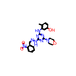 Cc1ccc(O)cc1Nc1nc(N/N=C\c2ccccc2[N+](=O)[O-])nc(N2CCOCC2)n1